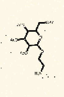 CC(=O)OCC1OC(OCCN)C(OC(C)=O)C(OC(C)=O)C1OC(C)=O